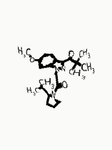 COc1ccc2c(C(=O)C(C)(C)C)nn(CC(=O)N3CCCC3C(C)C)c2c1